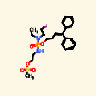 CCN(CCI)P(=O)(NCCOS(C)(=O)=O)OCCC=C(c1ccccc1)c1ccccc1